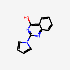 Oc1nc(-n2cccc2)nc2ccc[c]c12